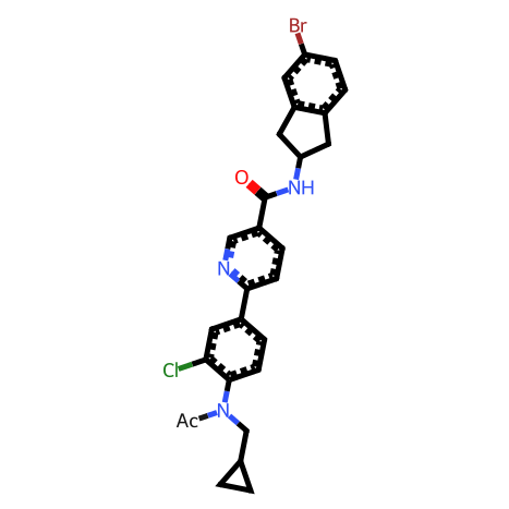 CC(=O)N(CC1CC1)c1ccc(-c2ccc(C(=O)NC3Cc4ccc(Br)cc4C3)cn2)cc1Cl